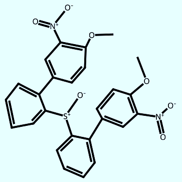 COc1ccc(-c2ccccc2[S+]([O-])c2ccccc2-c2ccc(OC)c([N+](=O)[O-])c2)cc1[N+](=O)[O-]